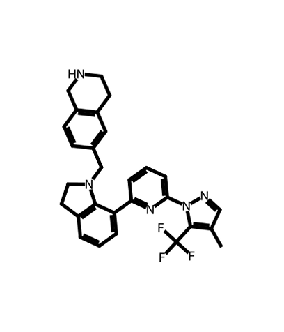 Cc1cnn(-c2cccc(-c3cccc4c3N(Cc3ccc5c(c3)CCNC5)CC4)n2)c1C(F)(F)F